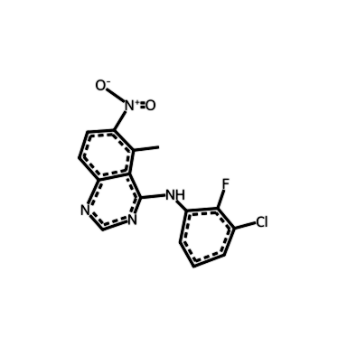 Cc1c([N+](=O)[O-])ccc2ncnc(Nc3cccc(Cl)c3F)c12